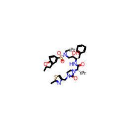 Cc1nc(CN2CCN([C@H](C(=O)N[C@@H](Cc3ccccc3)[C@@H](O)CN(CC(C)C)S(=O)(=O)c3ccc4c(c3)CC(C)O4)C(C)C)C2=O)cs1